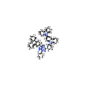 c1ccc(-c2nc(-c3cccc(-n4c5ccccc5c5cc(-n6c7ccccc7c7ccccc76)ccc54)c3)nc(-c3ccc4c5ccccc5c5ccccc5c4c3)n2)cc1